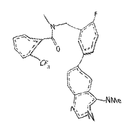 CNc1ncnc2ccc(-c3ccc(F)c(CN(C)C(=O)c4ccccc4C(F)(F)F)c3)cc12